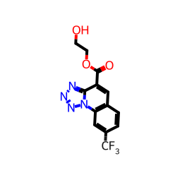 O=C(OCCO)c1cc2ccc(C(F)(F)F)cc2n2nnnc12